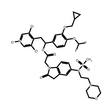 CS(=O)(=O)N(CCN1CCOCC1)c1ccc2c(c1)CC(=O)N2CC(=O)OC(Cc1c(Cl)c[n+]([O-])cc1Cl)c1ccc(OC(F)F)c(OCC2CC2)c1